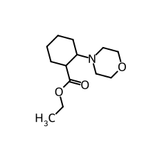 CCOC(=O)C1CCCCC1N1CCOCC1